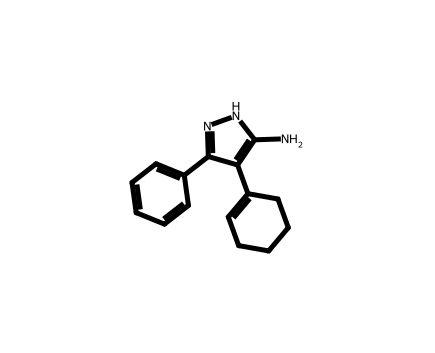 Nc1[nH]nc(-c2ccccc2)c1C1=CCCCC1